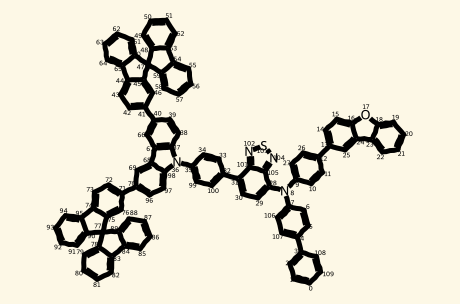 c1ccc(-c2ccc(N(c3ccc(-c4ccc5oc6ccccc6c5c4)cc3)c3ccc(-c4ccc(-n5c6ccc(-c7ccc8c(c7)C7(c9ccccc9-c9ccccc97)c7ccccc7-8)cc6c6cc(-c7ccc8c(c7)C7(c9ccccc9-c9ccccc97)c7ccccc7-8)ccc65)cc4)c4nsnc34)cc2)cc1